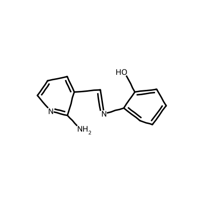 Nc1ncccc1C=Nc1ccccc1O